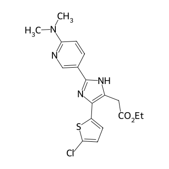 CCOC(=O)Cc1[nH]c(-c2ccc(N(C)C)nc2)nc1-c1ccc(Cl)s1